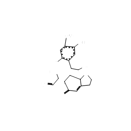 C=CC(C)[C@@H]1C[C@@]2(C(C)Cc3cc(O)c(OC)cc3F)OCCC2=CC1=O